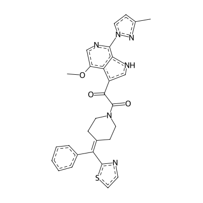 COc1cnc(-n2ccc(C)n2)c2[nH]cc(C(=O)C(=O)N3CCC(=C(c4ccccc4)c4nccs4)CC3)c12